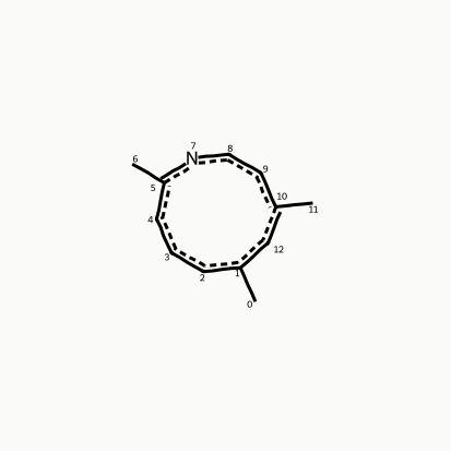 Cc1cccc(C)nccc(C)c1